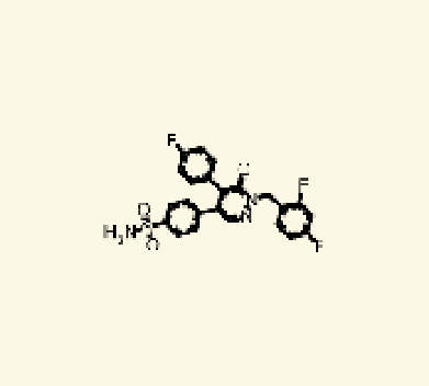 NS(=O)(=O)c1ccc(-c2cnn(Cc3ccc(F)cc3F)c(=O)c2-c2ccc(F)cc2)cc1